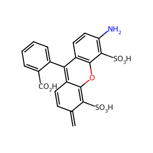 C=c1ccc2c(c1S(=O)(=O)O)Oc1c(ccc(N)c1S(=O)(=O)O)C=2c1ccccc1C(=O)O